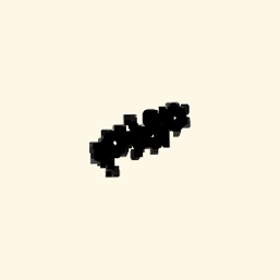 Cc1c2cnn(-c3ccccn3)c(=O)c2c(C)n1-c1ccc2ccn(C)c2c1